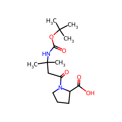 CC(C)(CC(=O)N1CCCC1C(=O)O)NC(=O)OC(C)(C)C